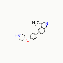 Cc1cncc2ccc(-c3ccc(OC4CCNCC4)cc3)cc12